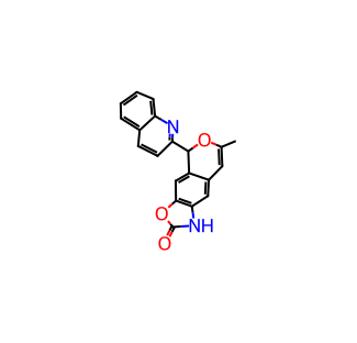 CC1=Cc2cc3[nH]c(=O)oc3cc2C(c2ccc3ccccc3n2)O1